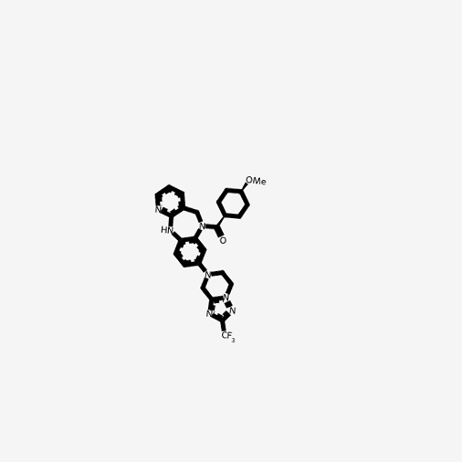 CO[C@H]1CC[C@@H](C(=O)N2Cc3cccnc3Nc3ccc(N4CCn5nc(C(F)(F)F)nc5C4)cc32)CC1